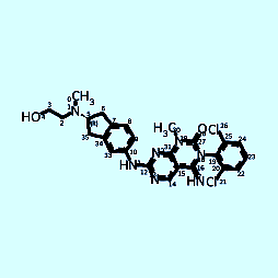 CN(CCO)[C@@H]1Cc2ccc(Nc3ncc4c(=N)n(-c5c(Cl)cccc5Cl)c(=O)n(C)c4n3)cc2C1